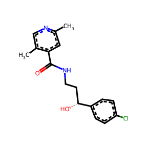 Cc1cc(C(=O)NCC[C@@H](O)c2ccc(Cl)cc2)c(C)cn1